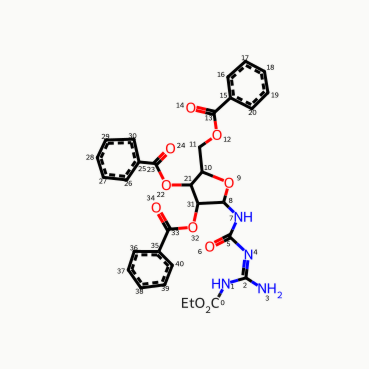 CCOC(=O)N/C(N)=N\C(=O)NC1OC(COC(=O)c2ccccc2)C(OC(=O)c2ccccc2)C1OC(=O)c1ccccc1